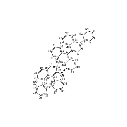 c1ccc(-c2ccc(-c3c4ccccc4c(-c4cc5ccc6sc7ccccc7c6c5c5c4sc4ccccc45)c4ccccc34)c3ccccc23)cc1